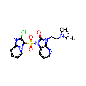 CN(C)CCn1c(=O)n(S(=O)(=O)c2c(Cl)nc3ccccn23)c2cccnc21